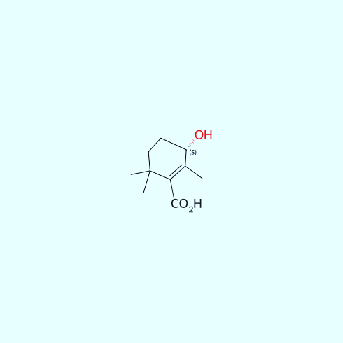 CC1=C(C(=O)O)C(C)(C)CC[C@@H]1O